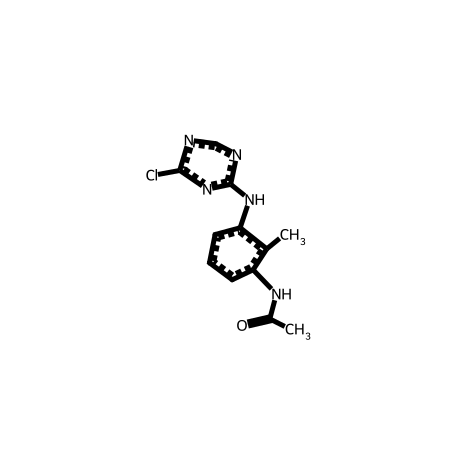 CC(=O)Nc1cccc(Nc2ncnc(Cl)n2)c1C